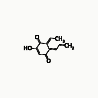 C=C/C=C1/C(=O)C=C(O)C(=O)/C1=C/C